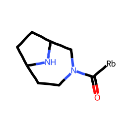 O=[C]([Rb])N1CCC2CCC(C1)N2